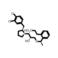 C[C@@H](OC[C@H](O)CN1CCC[C@H]1Cc1ccc(Cl)c(Cl)c1)c1ccccc1CCC(=O)O